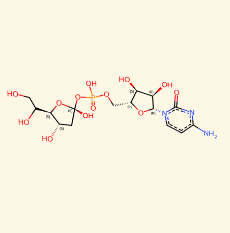 Nc1ccn([C@@H]2O[C@H](COP(=O)(O)O[C@]3(O)C[C@H](O)[C@@H](C(O)CO)O3)[C@@H](O)[C@H]2O)c(=O)n1